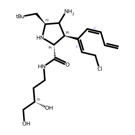 C=C/C=C\C(=C/CCl)[C@@H]1C(N)[C@H](CC(C)(C)C)N[C@H]1C(=O)NCC[C@H](O)CO